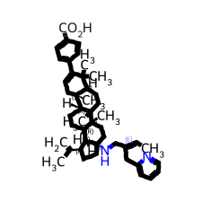 C=C(C)[C@@H]1CC[C@]2(NC/C(=C/C)Cc3ccccn3)CC[C@]3(C)[C@H](CC[C@H]4C3(C)CC[C@H]3C(C)(C)C(c5ccc(C(=O)O)cc5)=CC[C@@]34C)[C@@H]12